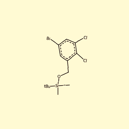 CC(C)(C)[Si](C)(C)OCc1cc(Br)cc(Cl)c1Cl